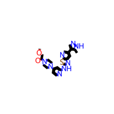 COCC(=O)N1CCN(c2ccnc(Nc3nc4cc(-c5cn[nH]c5C)cnc4s3)c2)CC1